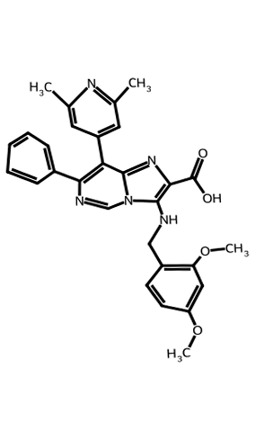 COc1ccc(CNc2c(C(=O)O)nc3c(-c4cc(C)nc(C)c4)c(-c4ccccc4)ncn23)c(OC)c1